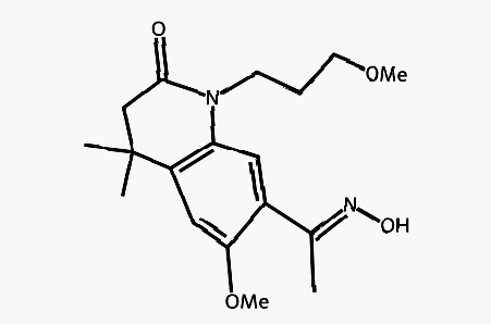 COCCCN1C(=O)CC(C)(C)c2cc(OC)c(/C(C)=N/O)cc21